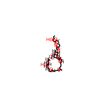 C=C1CC2CC[C@@H]3CCC(O3)[C@H]3C[C@@H](O)[C@H]4O[C@H](CC[C@@H]4O3)CC(=O)O[C@@H]3[C@@H](C)[C@@H]4O[C@@H]5C[C@]6(CC7O[C@]8(C[C@H](C)C9OC(CC)[C@H](O)CC9O8)C[C@H](C)C7O6)O[C@@H]5C[C@@H]4O[C@H]3C[C@H]3O[C@@H](CCC1O2)C[C@@H](C)C3=C